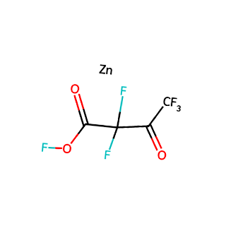 O=C(OF)C(F)(F)C(=O)C(F)(F)F.[Zn]